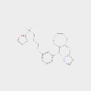 CC(N)(CCCOc1cccc(C2C3CCCCCC3=Nc3ccnn32)c1)c1ccco1